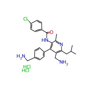 Cc1nc(CC(C)C)c(CN)c(-c2ccc(CN)cc2)c1NC(=O)c1ccc(Cl)cc1.Cl.Cl